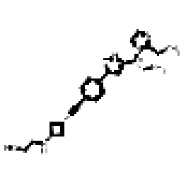 CCc1nccn1[C@H](CN)c1cc(-c2ccc(C#C[C@H]3C[C@H](NCCO)C3)cc2)on1